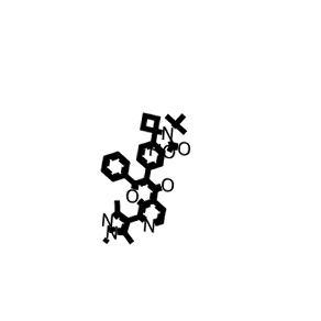 Cc1nn(C)c(C)c1-c1nccc2c(=O)c(-c3ccc(C4(N(C(=O)O)C(C)(C)C)CCC4)cc3)c(-c3ccccc3)oc12